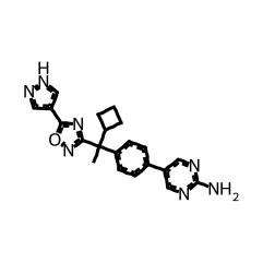 CC(c1ccc(-c2cnc(N)nc2)cc1)(c1noc(-c2cn[nH]c2)n1)C1CCC1